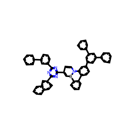 C1=CN2B(C=C1c1nc(-c3cccc(-c4ccccc4)c3)nc(-c3ccc4ccccc4c3)n1)c1ccccc1-c1ccc(-c3cc(-c4ccccc4)cc(-c4ccccc4)c3)cc12